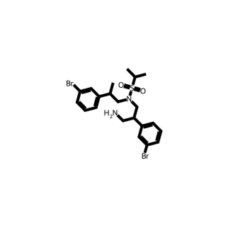 CC(CN(CC(CN)c1cccc(Br)c1)S(=O)(=O)C(C)C)c1cccc(Br)c1